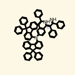 N=C(/C(=C1\NC(c2ccccc2)=Cc2cc(N(c3cccc4c3-c3ccccc3C4(c3ccccc3)c3ccccc3)c3cccc4c3-c3ccccc3C4(c3ccccc3)c3ccccc3)ccc21)c1ccccc1)c1ccccc1